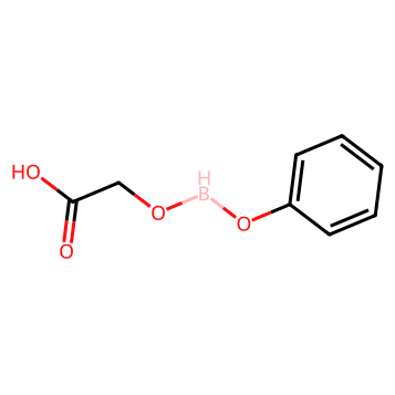 O=C(O)COBOc1ccccc1